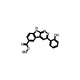 CC(C)(C)OC(=O)c1ccc2[nH]c3nnc(-c4ccccc4O)cc3c2c1